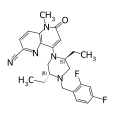 CC[C@@H]1CN(c2cc(=O)n(C)c3ccc(C#N)nc23)[C@@H](CC)CN1Cc1ccc(F)cc1F